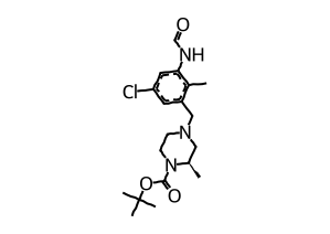 Cc1c(CN2CCN(C(=O)OC(C)(C)C)[C@H](C)C2)cc(Cl)cc1NC=O